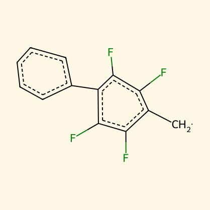 [CH2]c1c(F)c(F)c(-c2ccccc2)c(F)c1F